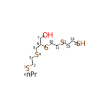 CCCSCCSCC(CO)SCCSCCS